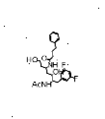 CC(=O)N[C@@H](Cc1cc(F)cc(F)c1)[C@@H](O)CC(CCO)NC(=O)CCCc1ccccc1